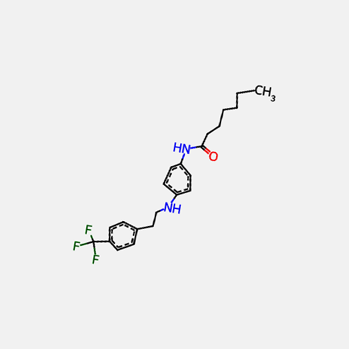 CCCCCCC(=O)Nc1ccc(NCCc2ccc(C(F)(F)F)cc2)cc1